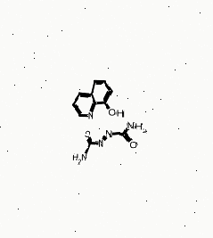 NC(=O)N=NC(N)=O.Oc1cccc2cccnc12